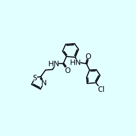 O=C(Nc1ccccc1C(=O)NCCc1nccs1)c1ccc(Cl)cc1